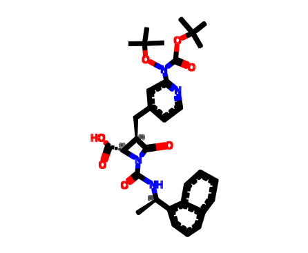 C[C@@H](NC(=O)N1C(=O)[C@H](Cc2ccnc(N(OC(C)(C)C)C(=O)OC(C)(C)C)c2)[C@H]1C(=O)O)c1cccc2ccccc12